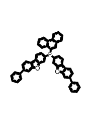 c1ccc(-c2ccc3c(c2)oc2cc(P(c4ccc5c(c4)oc4cc(-c6ccccc6)ccc45)c4cc5ccccc5c5ccccc45)ccc23)cc1